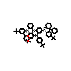 CC(C)(C)c1ccc(N2c3cc(N4c5ccc(C(C)(C)C)cc5C5(c6ccccc6)CCCCC45C)ccc3B3c4ccccc4N(c4ccc(C(C)(C)C)cc4-c4ccccc4)c4cc(C(C)(C)C)cc2c43)cc1